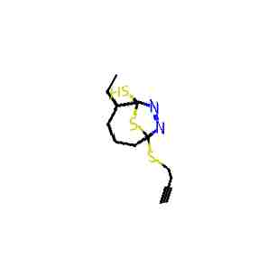 C#CCSC12CCCC(CC)C(S)(N=N1)S2